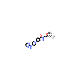 CC(C)(C)O[C@@H](CCNC(=O)c1ccc(N2CCC(Nc3ncccn3)CC2)cc1)C(=O)O